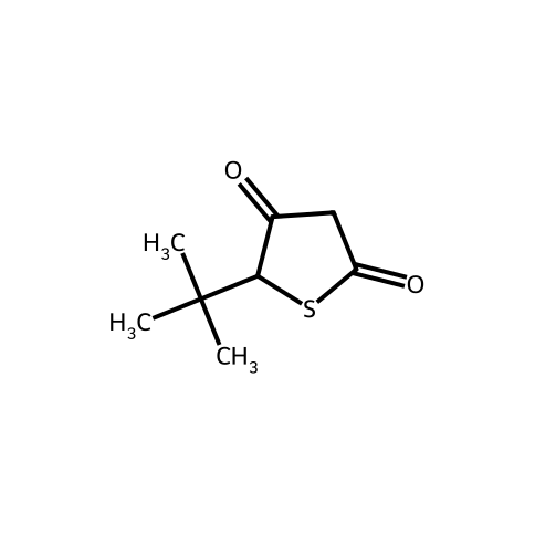 CC(C)(C)C1SC(=O)CC1=O